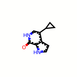 O=c1[nH]cc(C2CC2)c2cc[nH]c12